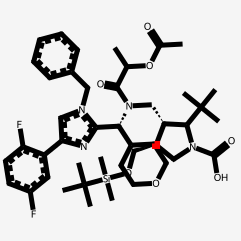 CC(=O)OC(C)C(=O)N(C[C@@H]1C(C(C)(C)C)N(C(=O)O)C[C@H]1CO[Si](C)(C)C(C)(C)C)[C@@H](c1nc(-c2cc(F)ccc2F)cn1Cc1ccccc1)C1CCOCC1